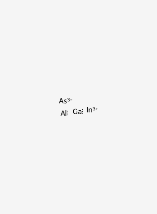 [Al].[As-3].[Ga].[In+3]